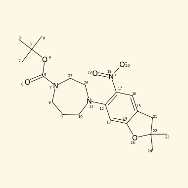 CC(C)(C)OC(=O)N1CCCN(c2cc3c(cc2[N+](=O)[O-])CC(C)(C)O3)CC1